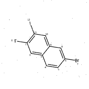 Fc1cc2ccc(Br)cc2cc1I